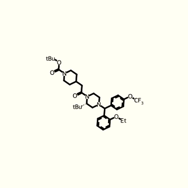 CCOc1ccccc1C(c1ccc(OC(F)(F)F)cc1)N1CCN(C(=O)CC2CCN(C(=O)OC(C)(C)C)CC2)[C@@H](C(C)(C)C)C1